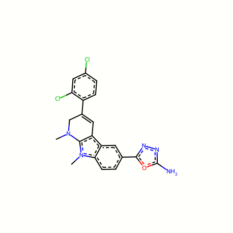 CN1CC(c2ccc(Cl)cc2Cl)=Cc2c1n(C)c1ccc(-c3nnc(N)o3)cc21